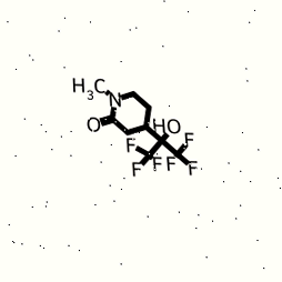 CN1CCC(C(O)(C(F)(F)F)C(F)(F)F)CC1=O